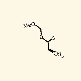 C=CC([S])OCOC